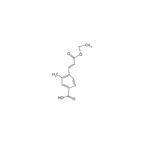 CCOC(=O)C=Cc1ccc(C(=O)O)cc1C